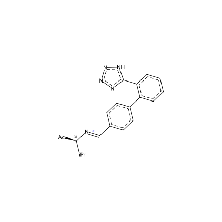 CC(=O)[C@@H](/N=C/c1ccc(-c2ccccc2-c2nnn[nH]2)cc1)C(C)C